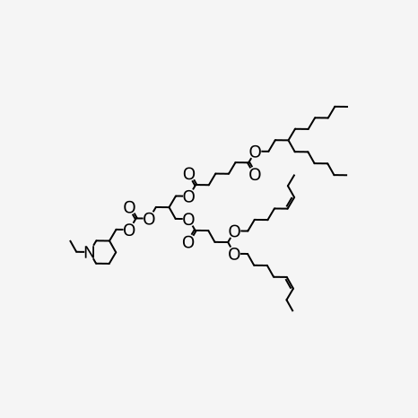 CC/C=C\CCCCOC(CCC(=O)OCC(COC(=O)CCCCC(=O)OCCC(CCCCCC)CCCCCC)COC(=O)OCC1CCCN(CC)C1)OCCCC/C=C\CC